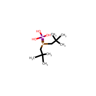 CC(C)(C)CS(CC(C)(C)C)=P(O)(O)O